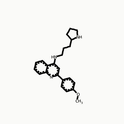 COc1ccc(-c2cc(NCCCC3CCCN3)c3ccccc3n2)cc1